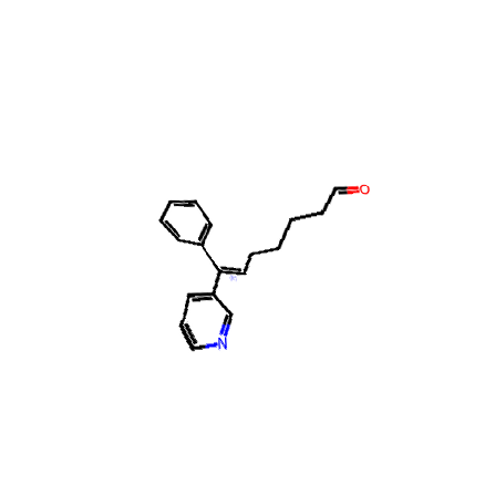 O=CCCCC/C=C(\c1ccccc1)c1cccnc1